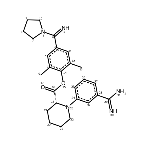 Cc1cc(C(=N)N2CCCC2)cc(C)c1OC(=O)[C@H]1CCCCN1c1cccc(C(=N)N)c1